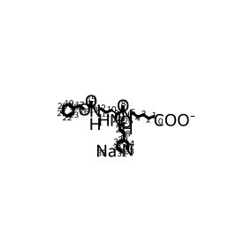 O=C([O-])CCCCCNC(=O)[C@H](CCCNC(=O)OCc1ccccc1)NC(=O)/C=C/c1cccnc1.[Na+]